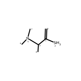 C=C([SiH3])C(C)N(C)C